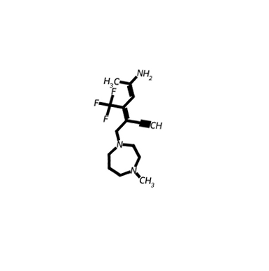 C#C/C(CN1CCCN(C)CC1)=C(\C=C(/C)N)C(F)(F)F